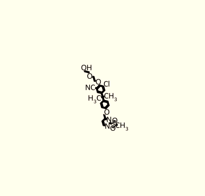 CC(C)(c1ccc(OCc2ccnc(S(C)(=O)=O)n2)cc1)c1cc(Cl)c(OCCOCCO)c(C#N)c1